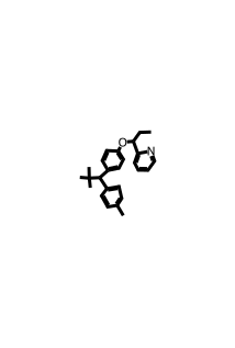 CCC(Oc1ccc(C(c2ccc(C)cc2)C(C)(C)C)cc1)c1ccccn1